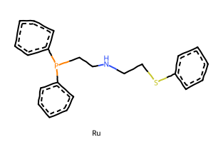 [Ru].c1ccc(SCCNCCP(c2ccccc2)c2ccccc2)cc1